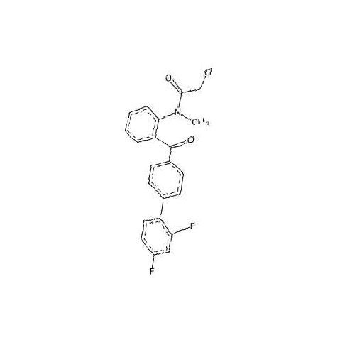 CN(C(=O)CCl)c1ccccc1C(=O)c1ccc(-c2ccc(F)cc2F)cc1